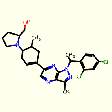 CC1CC(c2cnc3c(C#N)nn(C(C)c4ccc(Cl)cc4Cl)c3n2)=CCC1N1CCCC1CO